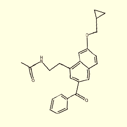 CC(=O)NCCc1cc(C(=O)c2ccccc2)cc2ccc(OCC3CC3)cc12